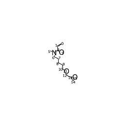 C=CC(=O)N(C)CCCCCOCC1CO1